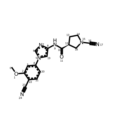 COc1cc(-n2cnc(NC(=O)[C@H]3CCN(C#N)C3)c2)ccc1C#N